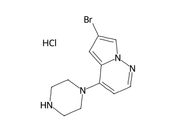 Brc1cc2c(N3CCNCC3)ccnn2c1.Cl